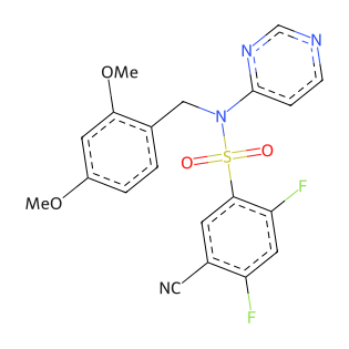 COc1ccc(CN(c2ccncn2)S(=O)(=O)c2cc(C#N)c(F)cc2F)c(OC)c1